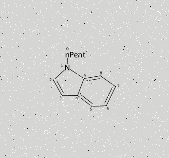 CCCCCn1ccc2ccccc21